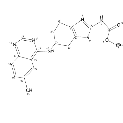 CC(C)(C)OC(=O)Nc1nc2c(s1)CC(Nc1ncnc3ccc(C#N)cc13)CC2